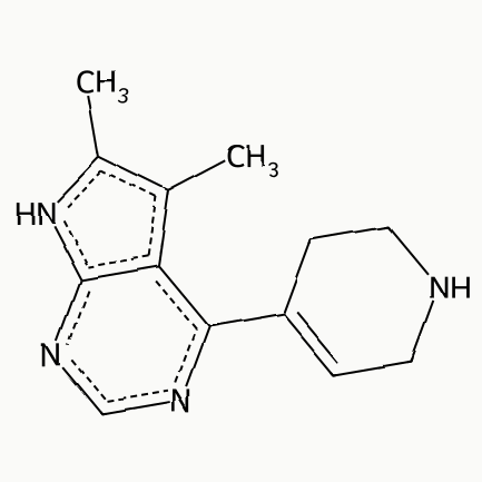 Cc1[nH]c2ncnc(C3=CCNCC3)c2c1C